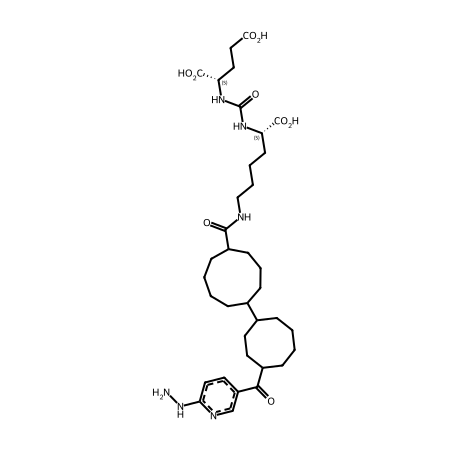 NNc1ccc(C(=O)C2CCCCC(C3CCCCC(C(=O)NCCCC[C@H](NC(=O)N[C@@H](CCC(=O)O)C(=O)O)C(=O)O)CCC3)CC2)cn1